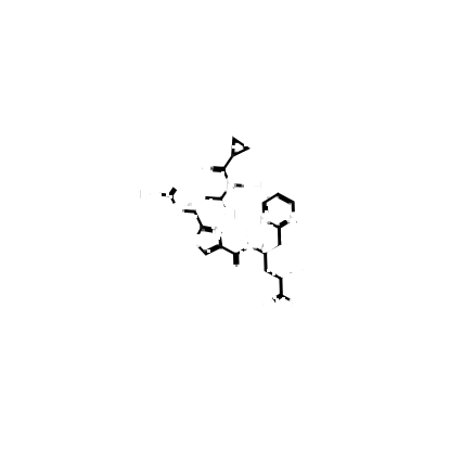 CC(=O)O[C@H](C[C@H](C)N(C)C(=O)C1CC1)c1nc(C(=O)N[C@@H](Cc2ncccn2)C[C@H](C)C(=O)O)cs1